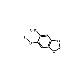 CCCCOc1cc2c(cc1C=O)OCO2